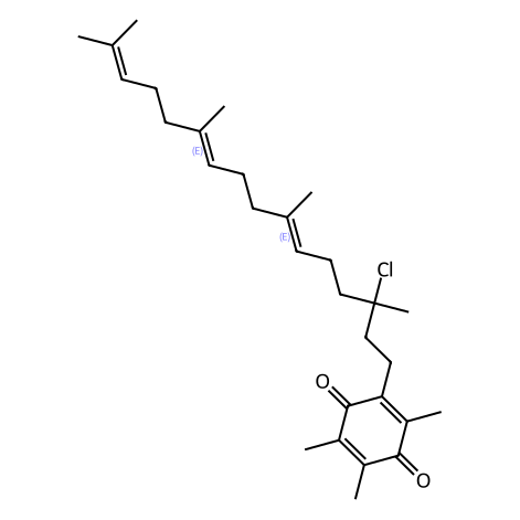 CC(C)=CCC/C(C)=C/CC/C(C)=C/CCC(C)(Cl)CCC1=C(C)C(=O)C(C)=C(C)C1=O